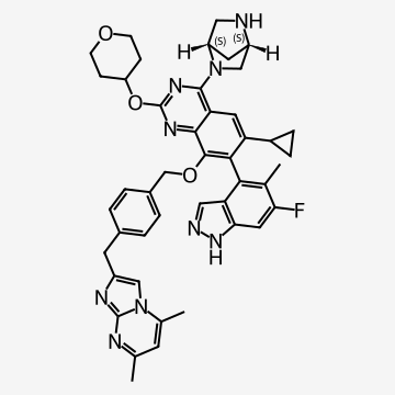 Cc1cc(C)n2cc(Cc3ccc(COc4c(-c5c(C)c(F)cc6[nH]ncc56)c(C5CC5)cc5c(N6C[C@@H]7C[C@H]6CN7)nc(OC6CCOCC6)nc45)cc3)nc2n1